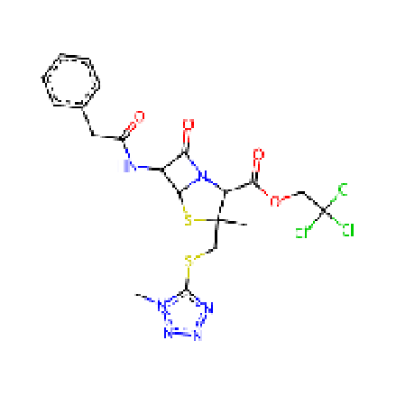 Cn1nnnc1SCC1(C)SC2C(NC(=O)Cc3ccccc3)C(=O)N2C1C(=O)OCC(Cl)(Cl)Cl